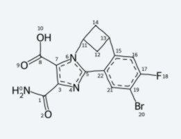 NC(=O)c1nc2n(c1C(=O)O)C1CC(C1)c1cc(F)c(Br)cc1-2